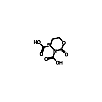 O=C(O)[C@@H]1CCOS(=O)N1C(=O)O